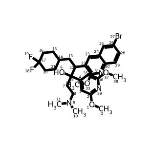 COc1cc(C(O)(CCN(C)C)C(CC2CCC(F)(F)CC2)c2cc3cc(Br)ccc3nc2OC)cc(OC)n1